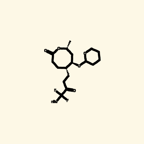 CCCCC(F)(F)C(=O)CC[C@@H]1CCC(=O)O[C@H](C)C[C@H]1OC1CCCCO1